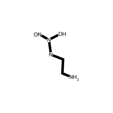 NCC[N]N(O)N=O